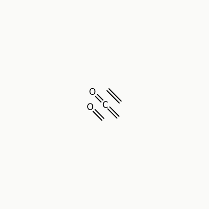 C=C.C=C=O.C=O